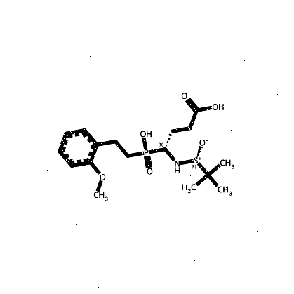 COc1ccccc1CCP(=O)(O)[C@H](CCC(=O)O)N[S@@+]([O-])C(C)(C)C